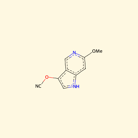 COc1cc2[nH]cc(OC#N)c2cn1